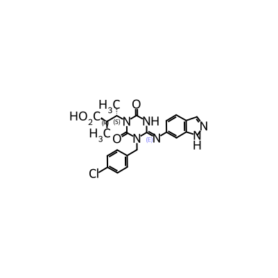 C[C@@H](C(=O)O)[C@H](C)n1c(=O)[nH]/c(=N\c2ccc3cn[nH]c3c2)n(Cc2ccc(Cl)cc2)c1=O